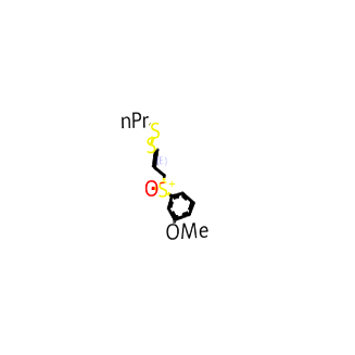 CCCSS/C=C/C[S+]([O-])c1cccc(OC)c1